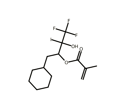 C=C(C)C(=O)OC(CC1CCCCC1)C(O)(I)C(F)(F)F